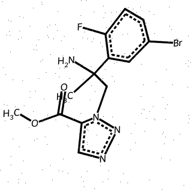 COC(=O)c1cnnn1CC(C)(N)c1cc(Br)ccc1F